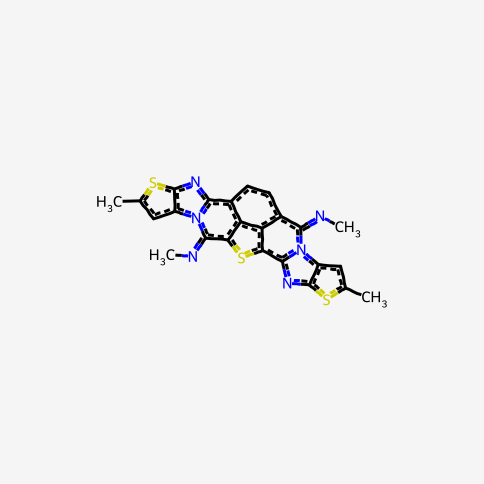 C/N=c1/c2sc3c4c(ccc(c24)c2nc4sc(C)cc4n12)/c(=N/C)n1c2cc(C)sc2nc31